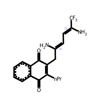 CCCC1=C(C/C(N)=C/C=C(\N)C(F)(F)F)C(=O)c2ccccc2C1=O